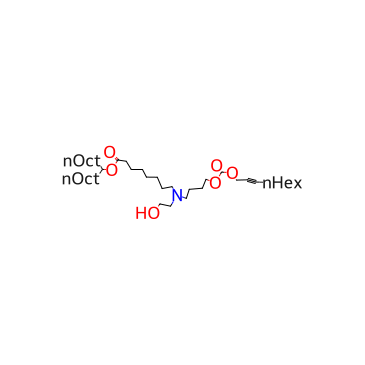 CCCCCCC#CCOC(=O)OCCCCN(CCO)CCCCCCCC(=O)OC(CCCCCCCC)CCCCCCCC